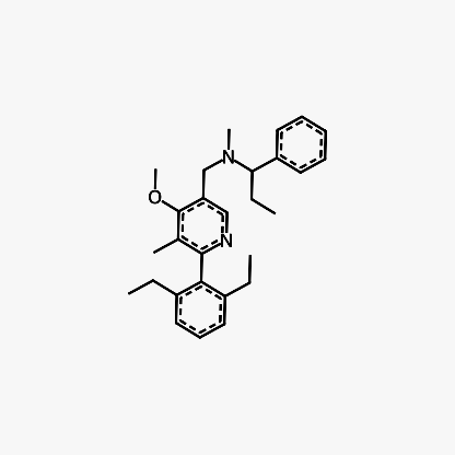 CCc1cccc(CC)c1-c1ncc(CN(C)C(CC)c2ccccc2)c(OC)c1C